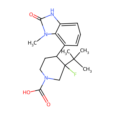 Cn1c(=O)[nH]c2cccc(C3CCN(C(=O)O)CC3(F)C(C)(C)C)c21